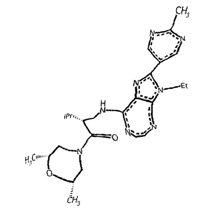 CCn1c(-c2cnc(C)nc2)nc2c(N[C@H](C(=O)N3C[C@@H](C)O[C@@H](C)C3)C(C)C)ncnc21